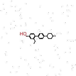 CCc1cc(CO)ccc1-c1ccc(C2CCC(C)CC2)cc1